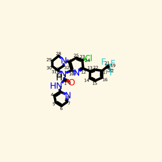 O=C(Nc1ccccn1)N1c2nc(-c3cccc(C(F)(F)F)c3)c(Cl)cc2N2CCC[C@H]1C2